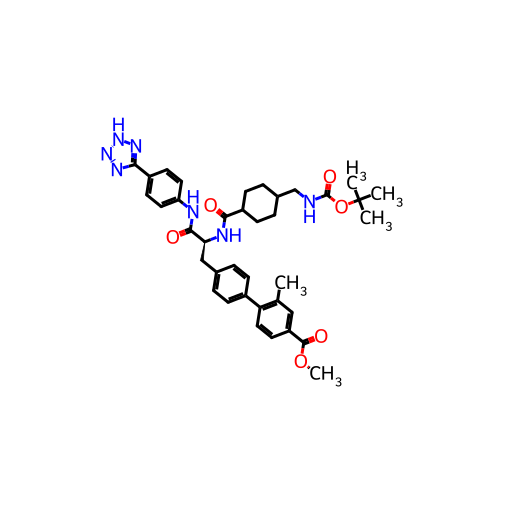 COC(=O)c1ccc(-c2ccc(C[C@H](NC(=O)C3CCC(CNC(=O)OC(C)(C)C)CC3)C(=O)Nc3ccc(-c4nn[nH]n4)cc3)cc2)c(C)c1